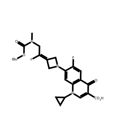 CN(CC(F)=C1CN(c2cc3c(cc2F)c(=O)c(C(=O)O)cn3C2CC2)C1)C(=O)OC(C)(C)C